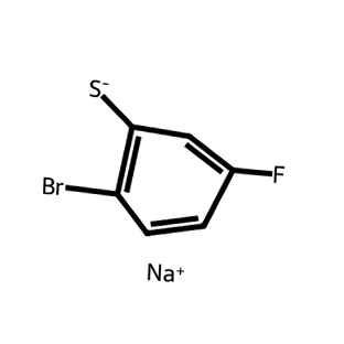 Fc1ccc(Br)c([S-])c1.[Na+]